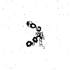 Nc1ncnc2c1c(-c1ccc(Oc3ccccc3)cc1)nn2C1CCCN(C2CCC3(CC2)OCCO3)C1